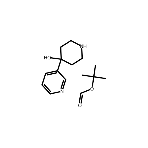 CC(C)(C)OC=O.OC1(c2cccnc2)CCNCC1